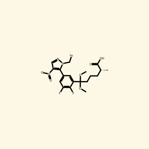 [2H]Cn1ncc([N+](=O)[O-])c1-c1cc(F)c(F)c(C(CCC[C@@H](C)C(=O)O)(OC)OC)c1